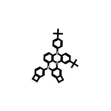 CC(C)(C)c1ccc(N2c3ccc(C(C)(C)C)cc3B3c4cc5c(cc4N(c4ccc6c(c4)CC6)c4cccc2c43)CC5)cc1